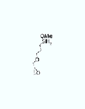 CO[SiH2]CCCOC[C@H]1CO1